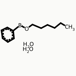 CCCCCCO[B]c1ccccc1.O.O